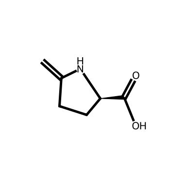 C=C1CC[C@H](C(=O)O)N1